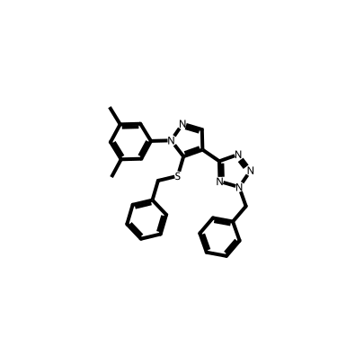 Cc1cc(C)cc(-n2ncc(-c3nnn(Cc4ccccc4)n3)c2SCc2ccccc2)c1